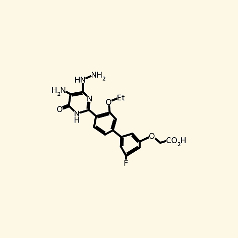 CCOc1cc(-c2cc(F)cc(OCC(=O)O)c2)ccc1-c1nc(NN)c(N)c(=O)[nH]1